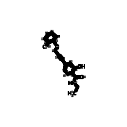 CCNC(=O)c1ncc(C#CCOc2ccccc2Cl)cc1O